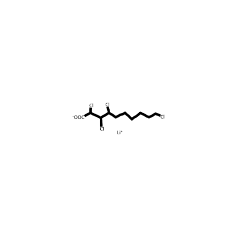 O=C([O-])C(Cl)C(Cl)C(Cl)CCCCCCCl.[Li+]